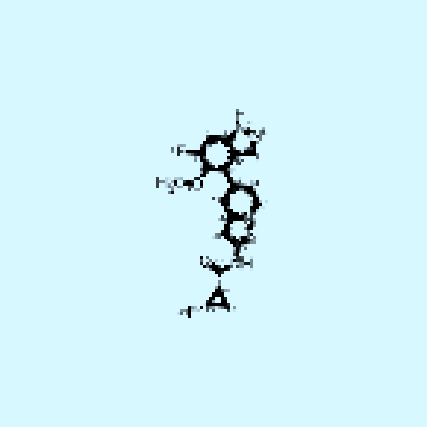 COc1c(F)cc2[nH]ncc2c1-c1ccn2nc(NC(=O)[C@@H]3C[C@@H]3F)cc2c1